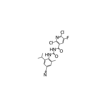 Cc1cc(C#N)cc(C(C)C)c1NC(=O)NC(=O)c1cc(F)c(Cl)nc1Cl